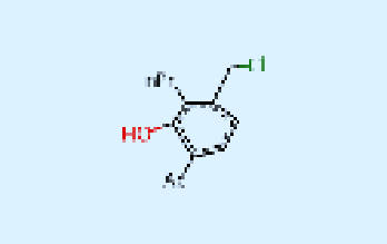 CCCc1c(CCl)ccc(C(C)=O)c1O